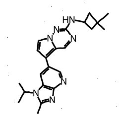 Cc1nc2ncc(-c3ccn4nc(NC5CC(C)(C)C5)ncc34)cc2n1C(C)C